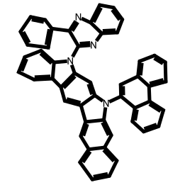 c1ccc(-c2nc3ccccc3nc2-n2c3ccccc3c3cc4c5cc6ccccc6cc5n(-c5cc6ccccc6c6ccccc56)c4cc32)cc1